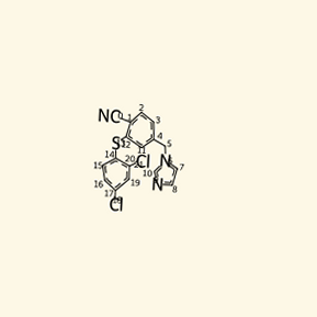 N#Cc1ccc(Cn2ccnc2)cc1Sc1ccc(Cl)cc1Cl